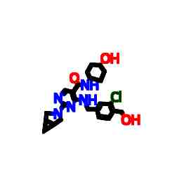 O=C(N[C@H]1CC[C@H](O)CC1)c1cnc(N2CC3CC3C2)nc1NCc1ccc(CO)c(Cl)c1